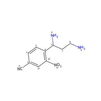 N#Cc1ccc(C(N)CCN)c([N+](=O)[O-])c1